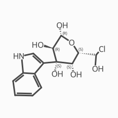 OC(Cl)[C@H]1O[C@@H](O)[C@H](O)[C@](O)(c2c[nH]c3ccccc23)[C@H]1O